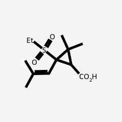 CCS(=O)(=O)C1(C=C(C)C)C(C(=O)O)C1(C)C